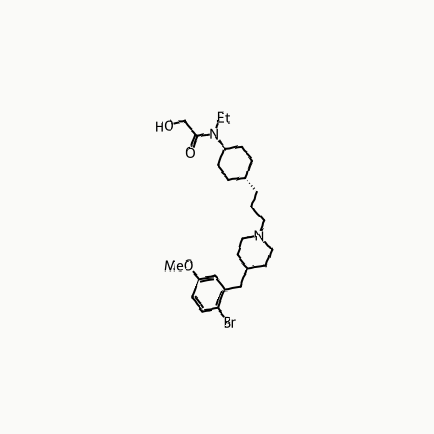 CCN(C(=O)CO)[C@H]1CC[C@H](CCCN2CCC(Cc3cc(OC)ccc3Br)CC2)CC1